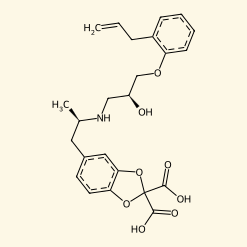 C=CCc1ccccc1OC[C@@H](O)CN[C@H](C)Cc1ccc2c(c1)OC(C(=O)O)(C(=O)O)O2